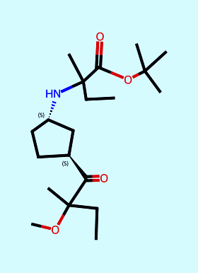 CCC(C)(N[C@H]1CC[C@H](C(=O)C(C)(CC)OC)C1)C(=O)OC(C)(C)C